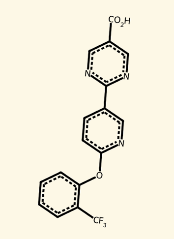 O=C(O)c1cnc(-c2ccc(Oc3ccccc3C(F)(F)F)nc2)nc1